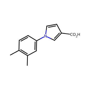 Cc1ccc(-n2ccc(C(=O)O)c2)cc1C